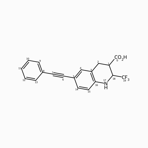 O=C(O)C1Cc2cc(C#Cc3ccccc3)ccc2NC1C(F)(F)F